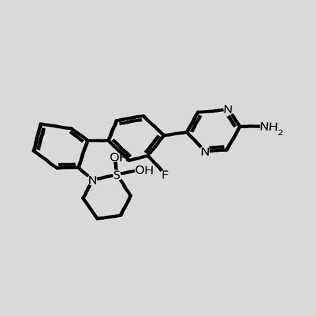 Nc1cnc(-c2ccc(-c3ccccc3N3CCCCS3(O)O)cc2F)cn1